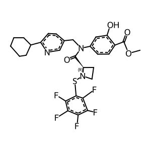 COC(=O)c1ccc(N(Cc2ccc(C3CCCCC3)nc2)C(=O)[C@H]2CCN2Sc2c(F)c(F)c(F)c(F)c2F)cc1O